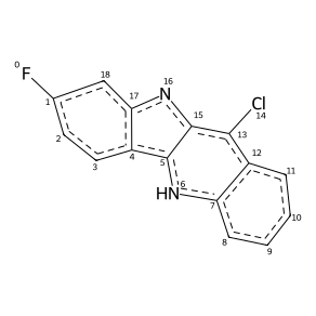 Fc1ccc2c3[nH]c4ccccc4c(Cl)c-3nc2c1